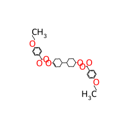 CCCOc1ccc(C(=O)OOC2=CCC(C3CCC(OOC(=O)c4ccc(OCCC)cc4)CC3)CC2)cc1